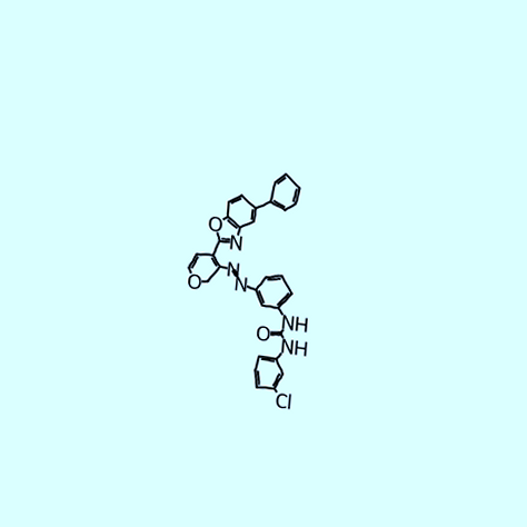 O=C(Nc1cccc(Cl)c1)Nc1cccc(N=NC2=C(c3nc4cc(-c5ccccc5)ccc4o3)C=COC2)c1